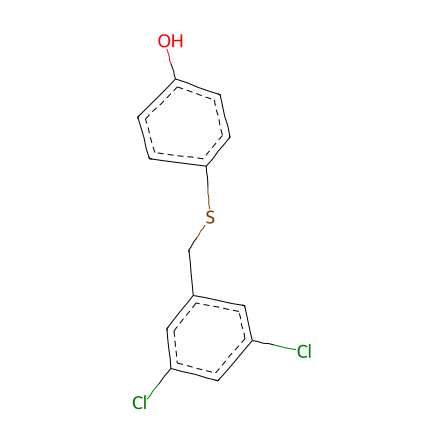 Oc1ccc(SCc2cc(Cl)cc(Cl)c2)cc1